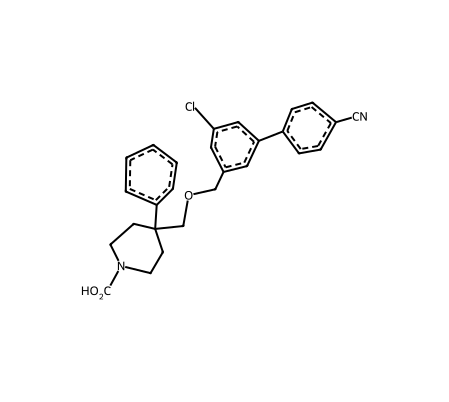 N#Cc1ccc(-c2cc(Cl)cc(COCC3(c4ccccc4)CCN(C(=O)O)CC3)c2)cc1